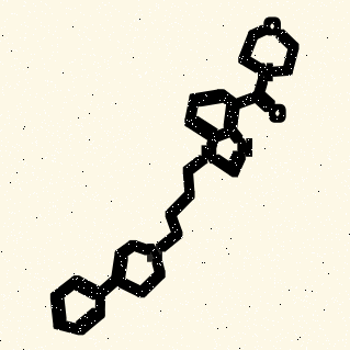 O=C(c1cccc2c1ncn2CCCCN1CC=C(c2ccccc2)CC1)N1CCOCC1